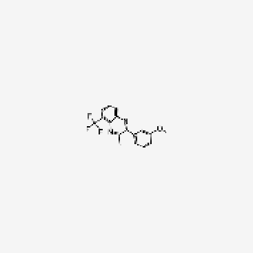 COc1cccc(-c2nc3cccc(C(F)(F)F)c3nc2C)c1